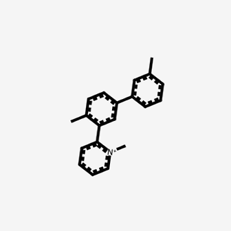 Cc1cccc(-c2ccc(C)c(-c3cccc[n+]3C)c2)c1